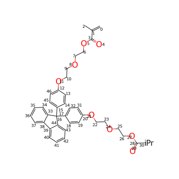 C=C(C)C(=O)OCCOCCOc1ccc(C2(c3ccc(OCCOCCOC(=O)C(C)C)cc3)c3ccccc3-c3ccccc32)cc1